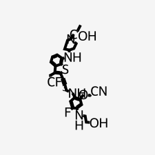 CC(O)CN1CCC(Nc2cccc3c(CC(F)(F)F)c(C#CCNc4cc(F)c(NCCO)cc4OCC#N)sc23)CC1